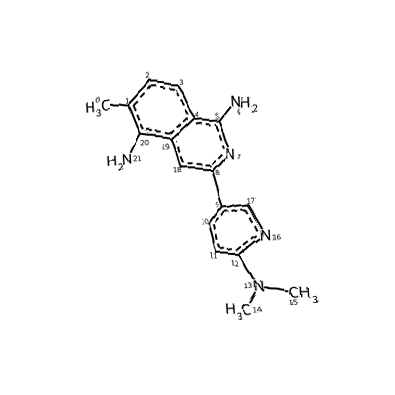 Cc1ccc2c(N)nc(-c3ccc(N(C)C)nc3)cc2c1N